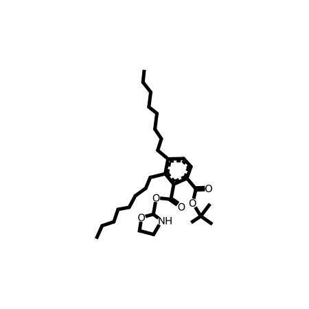 CCCCCCCCc1ccc(C(=O)OC(C)(C)C)c(C(=O)OC2NCCO2)c1CCCCCCCC